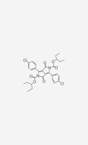 CCC(CC)OC(=O)N1C(=O)C2=C(c3ccc(Cl)cc3)N(C(=O)OC(CC)CC)C(=O)C2=C1c1ccc(Cl)cc1